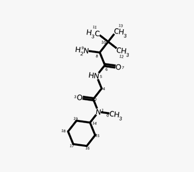 CN(C(=O)CNC(=O)C(N)C(C)(C)C)C1CCCCC1